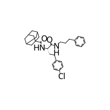 O=C(NCCCc1ccccc1)[C@H](CCc1ccc(Cl)cc1)NC(=O)C12CC3CC(CC(C3)C1)C2